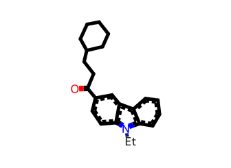 CCn1c2ccccc2c2cc(C(=O)CCC3CCCCC3)ccc21